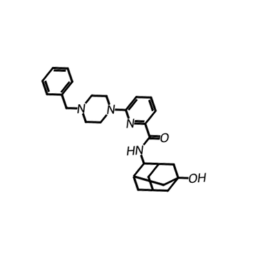 O=C(NC1C2CC3CC1CC(O)(C3)C2)c1cccc(N2CCN(Cc3ccccc3)CC2)n1